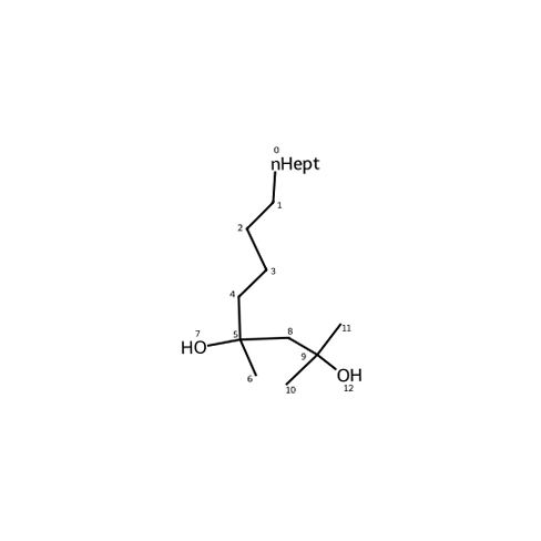 CCCCCCCCCCCC(C)(O)CC(C)(C)O